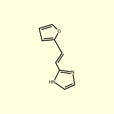 C(=Cc1ccco1)c1ncc[nH]1